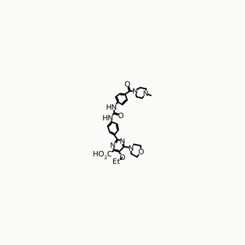 CCOc1c(C(=O)O)nc(-c2ccc(NC(=O)Nc3ccc(C(=O)N4CCN(C)CC4)cc3)cc2)nc1N1CCOCC1